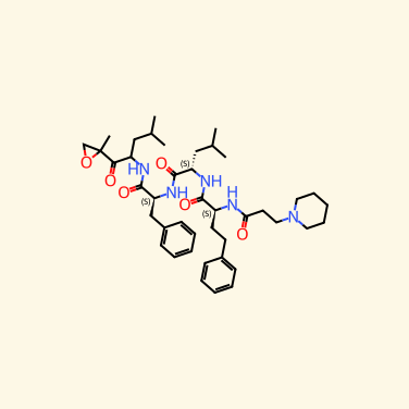 CC(C)CC(NC(=O)[C@H](Cc1ccccc1)NC(=O)[C@H](CC(C)C)NC(=O)[C@H](CCc1ccccc1)NC(=O)CCN1CCCCC1)C(=O)C1(C)CO1